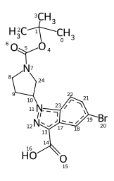 CC(C)(C)OC(=O)N1CCC(n2nc(C(=O)O)c3cc(Br)ccc32)C1